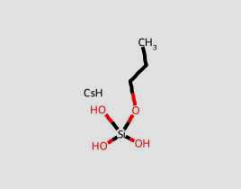 CCCO[Si](O)(O)O.[CsH]